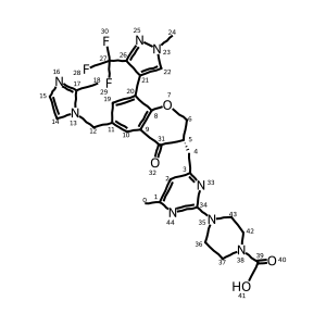 Cc1cc(C[C@H]2COc3c(cc(Cn4ccnc4C)cc3-c3cn(C)nc3C(F)(F)F)C2=O)nc(N2CCN(C(=O)O)CC2)n1